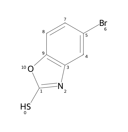 Sc1nc2cc(Br)ccc2o1